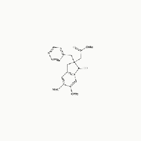 COC(=O)CC1(Cc2ccncc2)Cc2cc(OC)c(OC)cc2C1=O